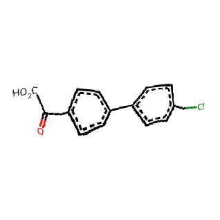 O=C(O)C(=O)c1ccc(-c2ccc(Cl)cc2)cc1